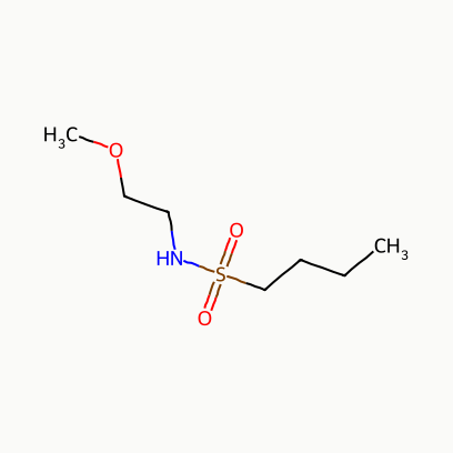 CCCCS(=O)(=O)NCCOC